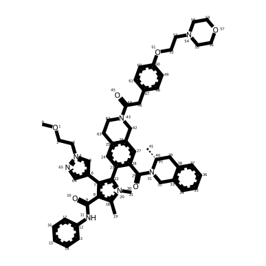 COCCn1cc(-c2c(C(=O)Nc3ccccc3)c(C)n(C)c2-c2cc3c(cc2C(=O)N2Cc4ccccc4C[C@H]2C)CN(C(=O)Cc2ccc(OCCN4CCOCC4)cc2)CC3)cn1